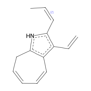 C=Cc1c(/C=C\C)[nH]c2c1C=CC=CC2